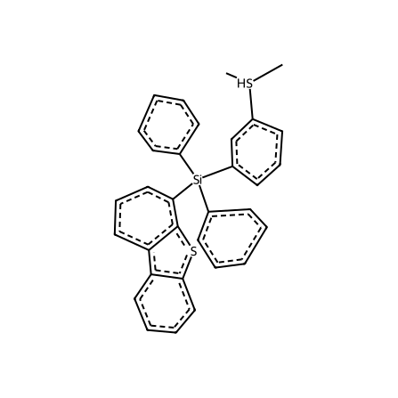 C[SH](C)c1cccc([Si](c2ccccc2)(c2ccccc2)c2cccc3c2sc2ccccc23)c1